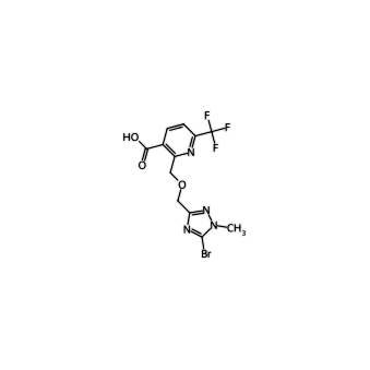 Cn1nc(COCc2nc(C(F)(F)F)ccc2C(=O)O)nc1Br